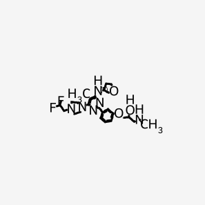 CNCC(O)COc1cccc(-c2nc(N[C@@H]3CCOC3)c(C)c(N3CCN(CC(F)F)CC3)n2)c1